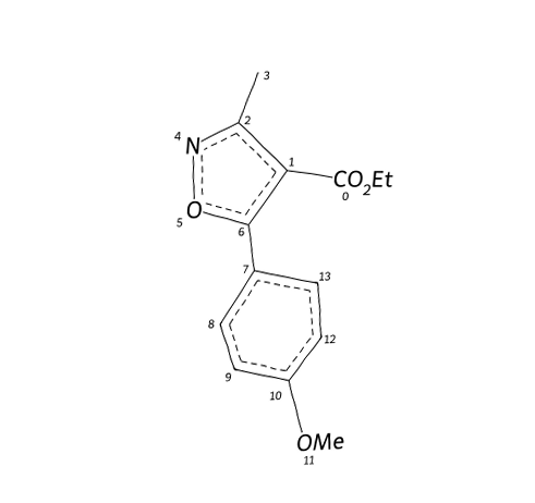 CCOC(=O)c1c(C)noc1-c1ccc(OC)cc1